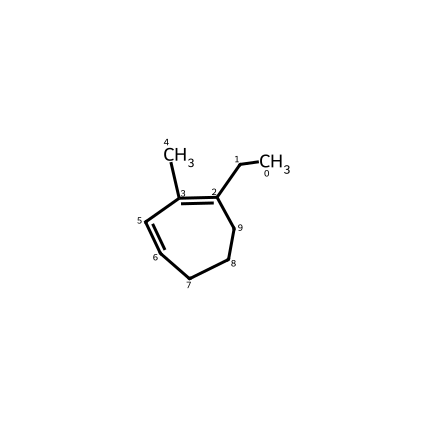 CCC1=C(C)C=CCCC1